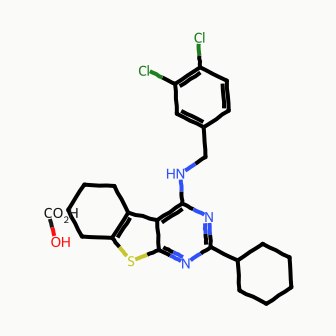 Clc1ccc(CNc2nc(C3CCCCC3)nc3sc4c(c23)CCCC4)cc1Cl.O=C(O)O